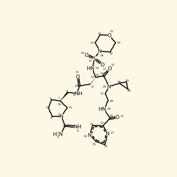 N=C(N)N1CCC[C@@H](CNC(=O)C[C@H](NS(=O)(=O)N2CCOCC2)C(=O)N(CCNC(=O)c2cnccn2)C2CC2)C1